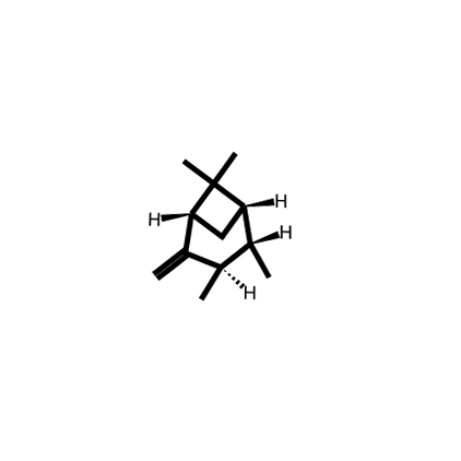 C=C1[C@H]2C[C@@H]([C@H](C)[C@H]1C)C2(C)C